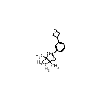 CC1(C)OB(c2cccc(C3COC3)c2)OC1(C)C